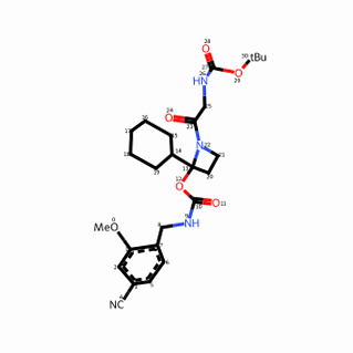 COc1cc(C#N)ccc1CNC(=O)OC1(C2CCCCC2)CCN1C(=O)CNC(=O)OC(C)(C)C